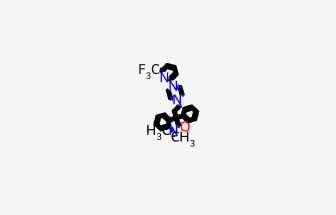 CN(C)C(=O)C(CCN1CCN(c2cccc(C(F)(F)F)n2)CC1)(c1ccccc1)c1ccccc1